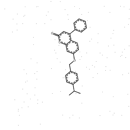 CC(C)c1ccc(COc2ccc3c(-c4ccccc4)cc(=O)oc3c2)cc1